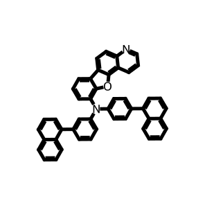 c1cc(-c2cccc3ccccc23)cc(N(c2ccc(-c3cccc4ccccc34)cc2)c2cccc3c2oc2c4cccnc4ccc32)c1